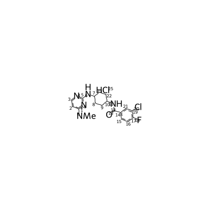 CNc1ccnc(NC2CCC(NC(=O)c3ccc(F)c(Cl)c3)CC2)n1.Cl